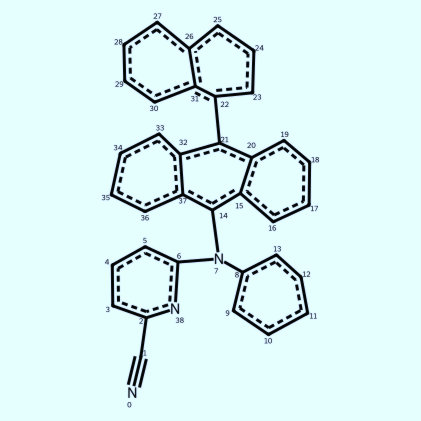 N#Cc1cccc(N(c2ccccc2)c2c3ccccc3c(-c3cccc4ccccc34)c3ccccc23)n1